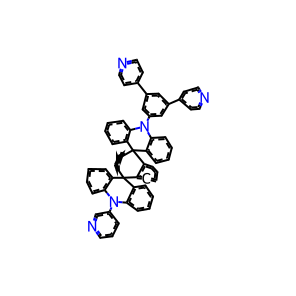 c1cncc(N2c3ccccc3C3(c4ccccc42)c2ccccc2C2(c4ccccc4N(c4cc(-c5ccncc5)cc(-c5ccncc5)c4)c4ccccc42)c2ccccc23)c1